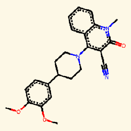 COc1ccc(C2CCN(c3c(C#N)c(=O)n(C)c4ccccc34)CC2)cc1OC